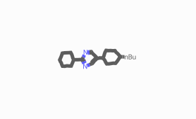 CCCCC1CCC(c2cnc(C3CCCCC3)nc2)CC1